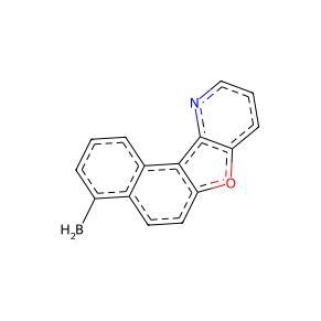 Bc1cccc2c1ccc1oc3cccnc3c12